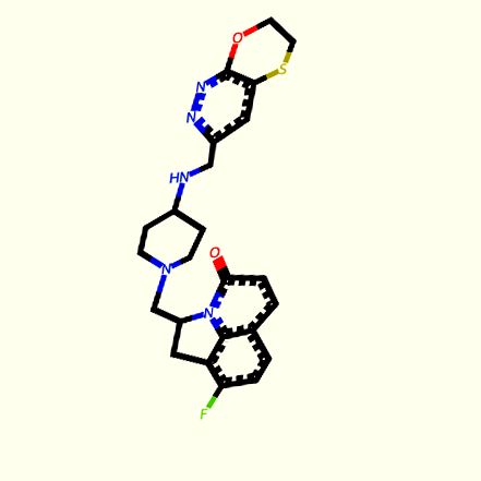 O=c1ccc2ccc(F)c3c2n1C(CN1CCC(NCc2cc4c(nn2)OCCS4)CC1)C3